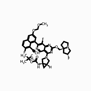 C#Cc1c(F)ccc2cc(OCOC)cc(-c3ncc4c(N5C[C@@H]6C[C@]6(NC(=O)OC(C)(C)C)C5)nc(OC[C@@]56CCCN5C[C@H](F)C6)nc4c3F)c12